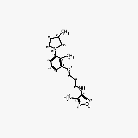 Cc1c(OCCCNc2nonc2N)cccc1N1CCC(C)C1